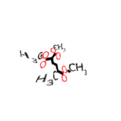 CCOC(=O)[C@@H](C)CCC(C(=O)OC)C(=O)OC